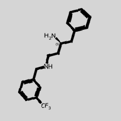 N[C@H](CCNCc1cccc(C(F)(F)F)c1)Cc1ccccc1